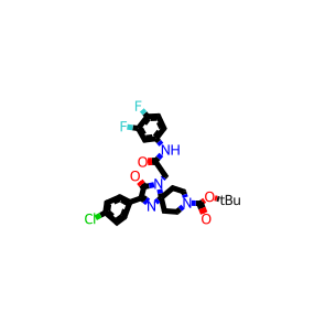 CC(C)(C)OC(=O)N1CCC2(CC1)N=C(c1ccc(Cl)cc1)C(=O)N2CC(=O)Nc1ccc(F)c(F)c1